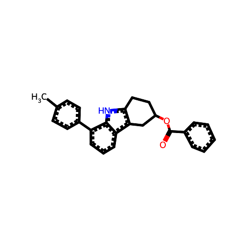 Cc1ccc(-c2cccc3c4c([nH]c23)CCC(OC(=O)c2ccccc2)C4)cc1